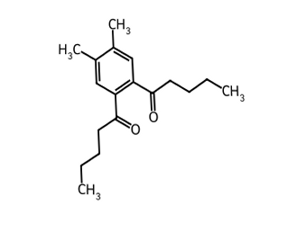 CCCCC(=O)c1cc(C)c(C)cc1C(=O)CCCC